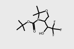 CC(C)(C)OC(=O)N1C(C(O)C(F)(F)F)COC1(C)C